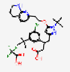 CC(C)(C)c1cc(Br)cc(C(CC(=O)O)Cc2cc(OCCc3ccc4c(n3)NCCC4)n(C(C)(C)C)n2)c1.O=C(O)C(F)(F)F